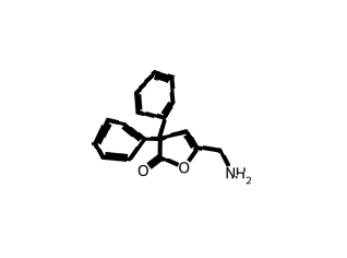 NCC1=CC(c2ccccc2)(c2ccccc2)C(=O)O1